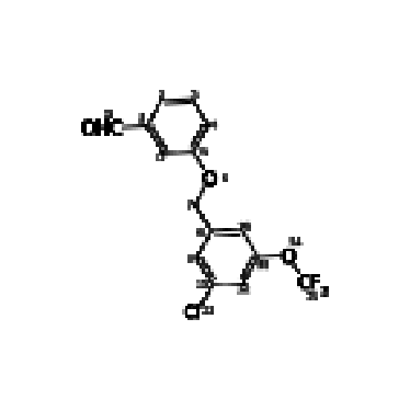 O=Cc1cccc(OCc2cc(Cl)cc(OC(F)(F)F)c2)c1